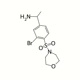 CC(N)c1ccc(S(=O)(=O)N2CCOCC2)c(Br)c1